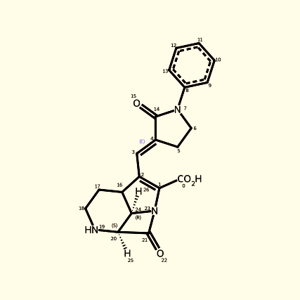 O=C(O)C1=C(/C=C2\CCN(c3ccccc3)C2=O)C2CCN[C@@H]3C(=O)N1[C@H]23